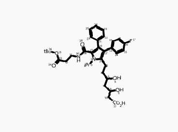 CC(C)n1c(CCC(O)CC(O)CC(=O)O)c(-c2ccc(F)cc2)c(-c2ccccc2)c1C(=O)NCCC(=O)OC(C)(C)C